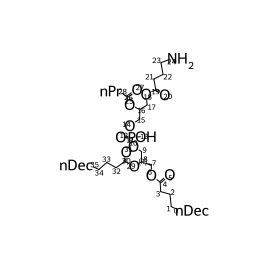 CCCCCCCCCCCCCC(=O)OC[C@H](COP(=O)(O)OCC(COC(=O)CCCN)OC(=O)CCC)OC(=O)CCCCCCCCCCCCC